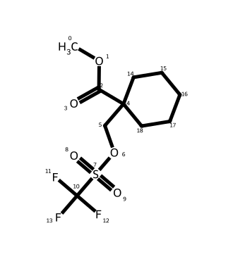 COC(=O)C1(COS(=O)(=O)C(F)(F)F)CCCCC1